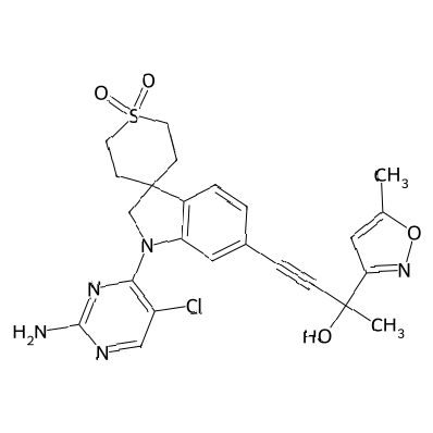 Cc1cc(C(C)(O)C#Cc2ccc3c(c2)N(c2nc(N)ncc2Cl)CC32CCS(=O)(=O)CC2)no1